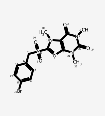 Cn1c(=O)c2c(nc(S(=O)(=O)Cc3ccc(Br)cc3)n2C)n(C)c1=O